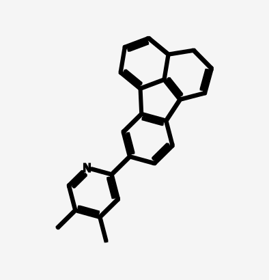 Cc1cnc(-c2ccc3c(c2)C2=CC=CC4CC=CC3=C24)cc1C